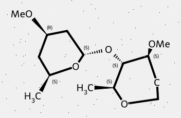 CO[C@H]1C[C@H](O[C@H]2[C@H](C)OCC[C@@H]2OC)O[C@@H](C)C1